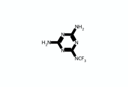 Nc1nc(N)nc(NC(F)(F)F)n1